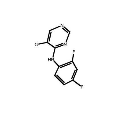 Fc1ccc(Nc2ncncc2Cl)c(F)c1